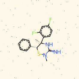 CN1S[C@H](c2ccccc2)[C@@](C)(c2ccc(F)cc2F)NC1=N